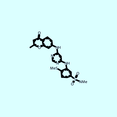 CNS(=O)(=O)c1ccc(SC)c(Nc2cc(Nc3ccc4c(=O)cc(C)oc4c3)ncn2)c1